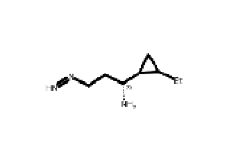 CCC1CC1[C@H](N)CCN=N